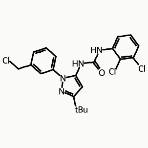 CC(C)(C)c1cc(NC(=O)Nc2cccc(Cl)c2Cl)n(-c2cccc(CCl)c2)n1